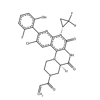 C=CC(=O)N1CCN2c3c(c(=O)n([C@@H]4CC4(F)F)c4nc(-c5c(O)cccc5F)c(Cl)cc34)NC(=O)[C@H]2C1